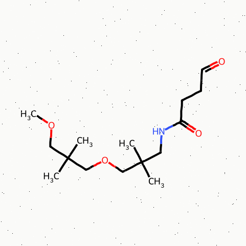 COCC(C)(C)COCC(C)(C)CNC(=O)CCC=O